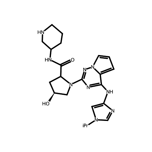 CC(C)n1cnc(Nc2nc(N3C[C@@H](O)CC3C(=O)NC3CCCNC3)nn3cccc23)c1